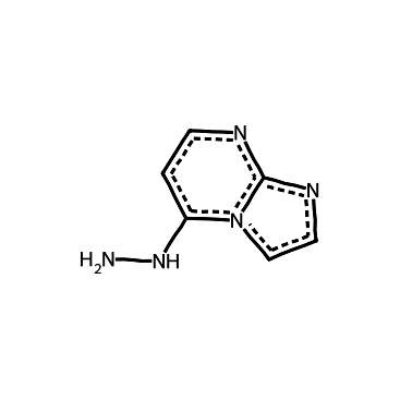 NNc1ccnc2nccn12